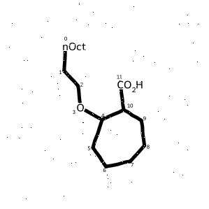 CCCCCCCCCCOC1CCCCCC1C(=O)O